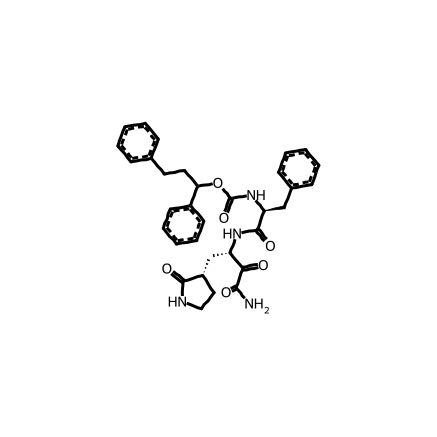 NC(=O)C(=O)[C@H](C[C@@H]1CCNC1=O)NC(=O)[C@H](Cc1ccccc1)NC(=O)OC(CCc1ccccc1)c1ccccc1